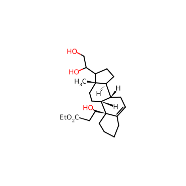 CCOC(=O)CC(O)[C@]12CCCCC1=CC[C@@H]1[C@H]2CC[C@]2(C)C(C(O)CO)CC[C@@H]12